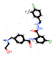 CN(CCO)Cc1ccc(C(=O)Nc2ccc(Cl)cc2C(=O)N/N=C/c2ccc(Cl)c(C(F)(F)F)c2)cc1